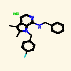 Cc1c(C)n(Cc2ccc(F)cc2)c2c(NCc3ccccc3)nccc12.Cl